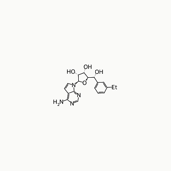 CCc1cccc([C@@H](O)[C@H]2O[C@@H](n3ccc4c(N)ncnc43)[C@H](O)[C@@H]2O)c1